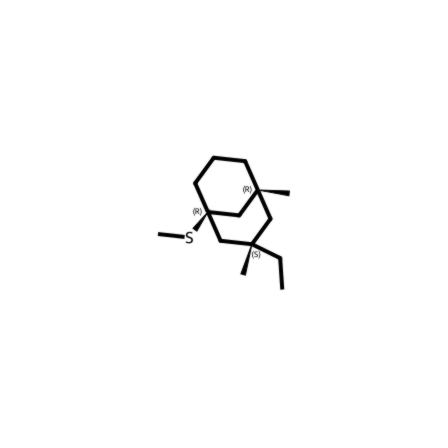 CC[C@@]1(C)C[C@@]2(C)CCC[C@@](SC)(C1)C2